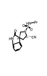 CC(C)NS(=O)(=O)N1C[C@]2(C[C@H]1C#N)C(=O)Nc1ccccc12